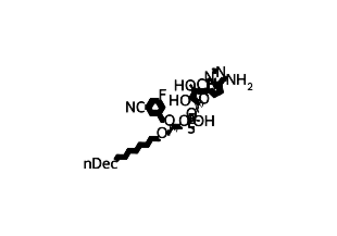 CCCCCCCCCCCCCCCCCCOC[C@H](CO[P@](O)(=S)OC[C@H]1O[C@@](C)(c2ccc3c(N)ncnn23)[C@H](O)[C@@H]1O)OCc1cc(F)cc(C#N)c1